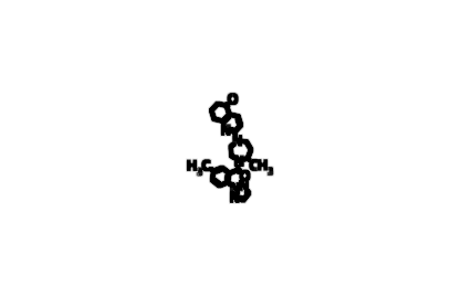 Cc1ccc(-n2nccn2)c(C(=O)N2CCN(c3ccc4c(n3)CCCC4=O)CC[C@H]2C)c1